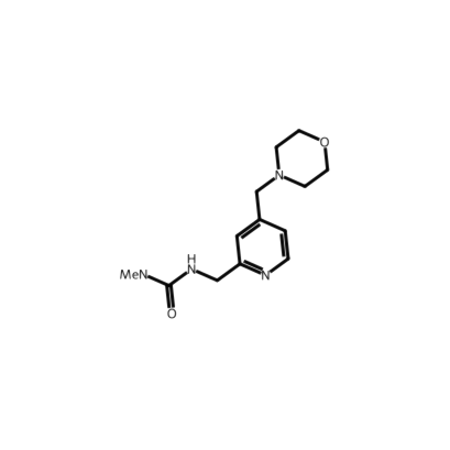 CNC(=O)NCc1cc(CN2CCOCC2)ccn1